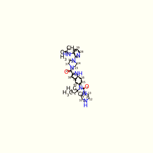 CCC(C)(C)N(C(=O)N1CCNCC1)c1ccc2[nH]c(C(=O)N3CCN(c4ncccc4NC(C)C)CC3)cc2c1